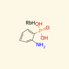 Nc1ccccc1P(=O)(O)O.[RbH]